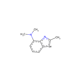 Cc1nc2c(N(C)C)cccc2[se]1